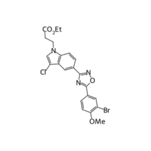 CCOC(=O)CCn1cc(Cl)c2cc(-c3noc(-c4ccc(OC)c(Br)c4)n3)ccc21